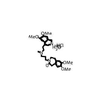 COc1cc2c(cc1OC)CC(=O)N(CCCN(C)CCc1cncc3cc(OC)c(OC)cc13)CC2.Cl.Cl.O